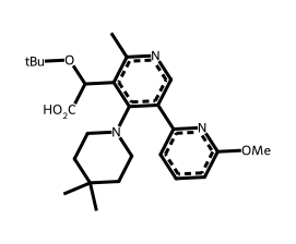 COc1cccc(-c2cnc(C)c(C(OC(C)(C)C)C(=O)O)c2N2CCC(C)(C)CC2)n1